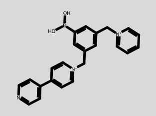 OB(O)c1cc(C[n+]2ccccc2)cc(C[n+]2ccc(-c3ccncc3)cc2)c1